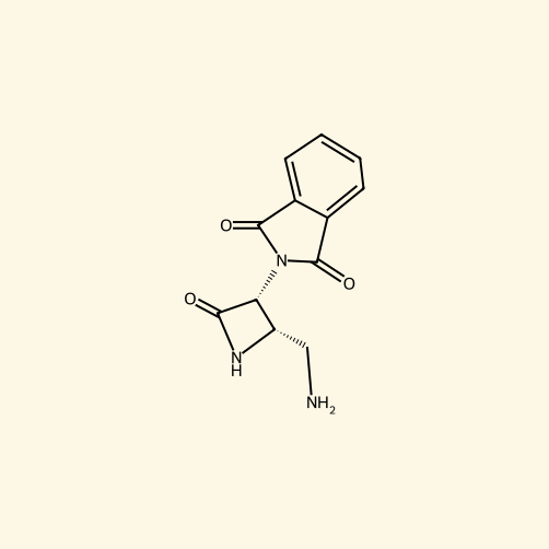 NC[C@@H]1NC(=O)[C@@H]1N1C(=O)c2ccccc2C1=O